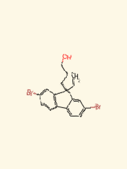 C=CC1(CCCO)c2cc(Br)ccc2-c2ccc(Br)cc21